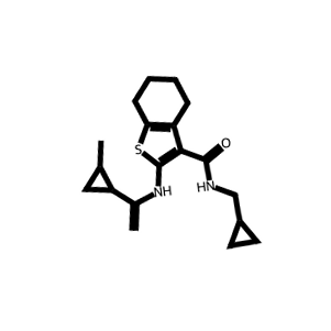 C=C(Nc1sc2c(c1C(=O)NCC1CC1)CCCC2)C1CC1C